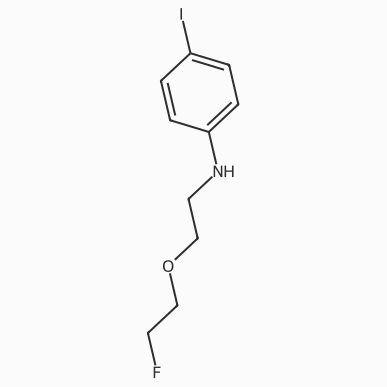 FCCOCCNc1ccc(I)cc1